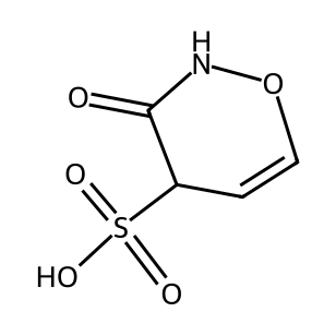 O=C1NOC=CC1S(=O)(=O)O